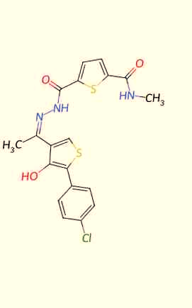 CNC(=O)c1ccc(C(=O)N/N=C(/C)c2csc(-c3ccc(Cl)cc3)c2O)s1